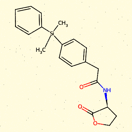 C[Si](C)(c1ccccc1)c1ccc(CC(=O)N[C@H]2CCOC2=O)cc1